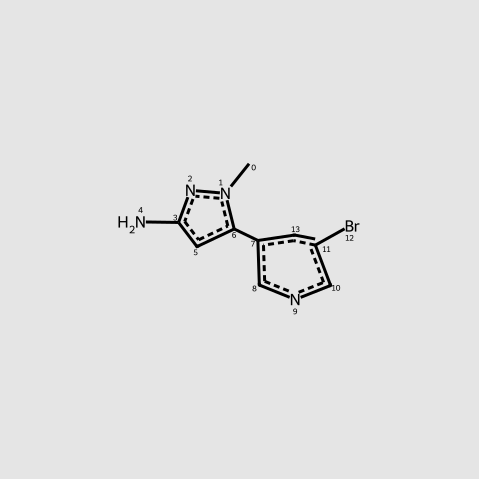 Cn1nc(N)cc1-c1cncc(Br)c1